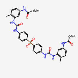 COC(=O)Nc1ccc(C)c(NC(=O)Nc2ccc(S(=O)(=O)c3ccc(NC(=O)Nc4cc(NC(=O)OC)ccc4C)cc3)cc2)c1